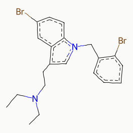 CCN(CC)CCc1cn(Cc2ccccc2Br)c2ccc(Br)cc12